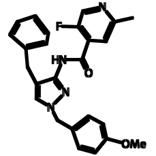 COc1ccc(Cn2cc(Cc3ccccc3)c(NC(=O)c3cc(C)ncc3F)n2)cc1